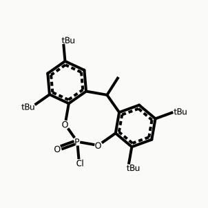 CC1c2cc(C(C)(C)C)cc(C(C)(C)C)c2OP(=O)(Cl)Oc2c1cc(C(C)(C)C)cc2C(C)(C)C